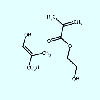 C=C(C)C(=O)OCCO.CC(=CO)C(=O)O